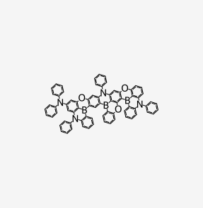 c1ccc(N(c2ccccc2)c2cc3c4c(c2)N(c2ccccc2)c2ccccc2B4c2cc4c(cc2O3)N(c2ccccc2)c2cc3c(c5c2B4c2ccccc2O5)B2c4ccccc4N(c4ccccc4)c4cccc(c42)O3)cc1